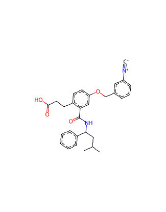 [C-]#[N+]c1cccc(COc2ccc(CCC(=O)O)c(C(=O)NC(CC(C)C)c3ccccc3)c2)c1